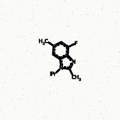 Cc1cc(F)c2nc(C)n(C(C)C)c2c1